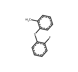 [CH2]c1ccccc1Sc1ccccc1F